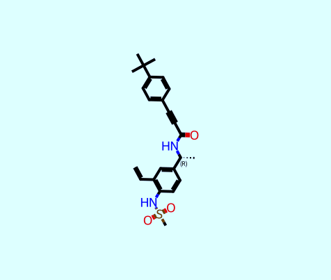 C=Cc1cc([C@@H](C)NC(=O)C#Cc2ccc(C(C)(C)C)cc2)ccc1NS(C)(=O)=O